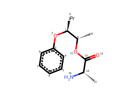 CC(C)[C@H](Oc1ccccc1)[C@H](C)OC(=O)[C@H](C)N